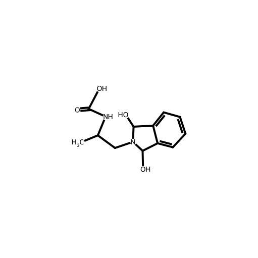 CC(CN1C(O)c2ccccc2C1O)NC(=O)O